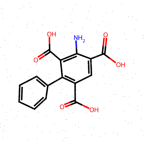 Nc1c(C(=O)O)cc(C(=O)O)c(-c2ccccc2)c1C(=O)O